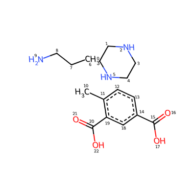 C1CNCCN1.CCCN.Cc1ccc(C(=O)O)cc1C(=O)O